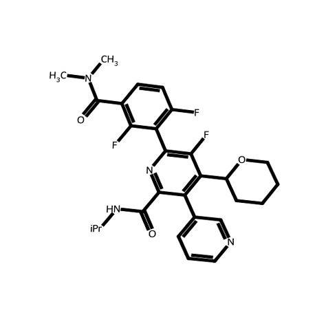 CC(C)NC(=O)c1nc(-c2c(F)ccc(C(=O)N(C)C)c2F)c(F)c(C2CCCCO2)c1-c1cccnc1